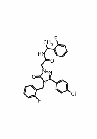 CC(NC(=O)Cn1nc(-c2ccc(Cl)cc2)n(Cc2ccccc2F)c1=O)c1ccccc1F